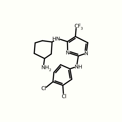 NC1CCCC(Nc2nc(Nc3ccc(Cl)c(Cl)c3)ncc2C(F)(F)F)C1